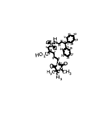 CN1C(=O)N(CCCC(CS(=O)(=O)NCCC(c2ccccc2)c2ccccc2)C(=O)O)C(=O)C1(C)C